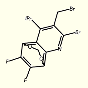 CC(C)c1c(CBr)c(Br)nc2c3c(F)c(F)c(c12)OCO3